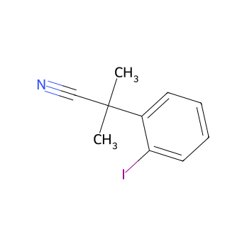 CC(C)(C#N)c1ccccc1I